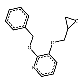 c1ccc(COc2ncccc2OCC2CO2)cc1